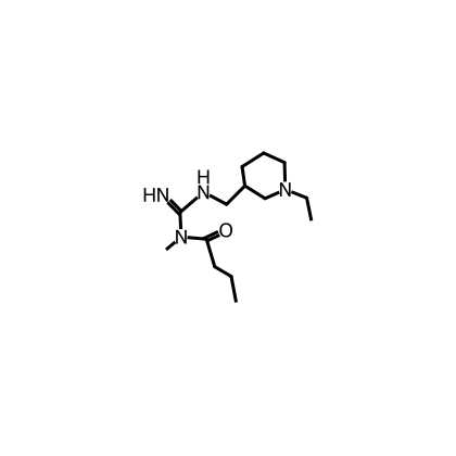 CCCC(=O)N(C)C(=N)NCC1CCCN(CC)C1